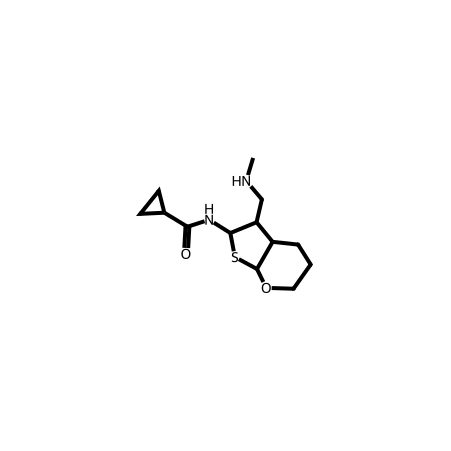 CNCC1C(NC(=O)C2CC2)SC2OCCCC21